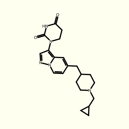 O=C1CCN(c2cnn3ccc(CC4CCN(CC5CC5)CC4)cc23)C(=O)N1